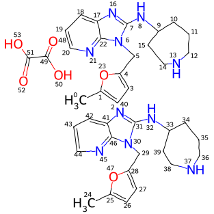 Cc1ccc(Cn2c(NC3CCCNCC3)nc3cccnc32)o1.Cc1ccc(Cn2c(NC3CCCNCC3)nc3cccnc32)o1.O=C(O)C(=O)O